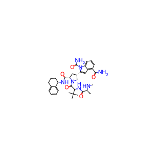 CN[C@@H](C)C(=O)N[C@H](C(=O)N1C[C@@H](c2cc3c(C(N)=O)cccc3n2C(N)=O)C[C@H]1C(=O)N[C@@H]1CCCc2ccccc21)C(C)(C)C